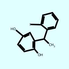 CC(c1cc(O)ccc1O)c1ccccc1I